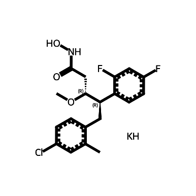 CO[C@H](CC(=O)NO)[C@H](Cc1ccc(Cl)cc1C)c1ccc(F)cc1F.[KH]